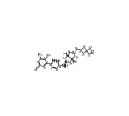 Fc1cc(F)c(F)c(-c2ccc(N[C@H]3C[C@@H]4CN(CC5CC6(COC6)C5)C[C@@H]4C3)nn2)c1